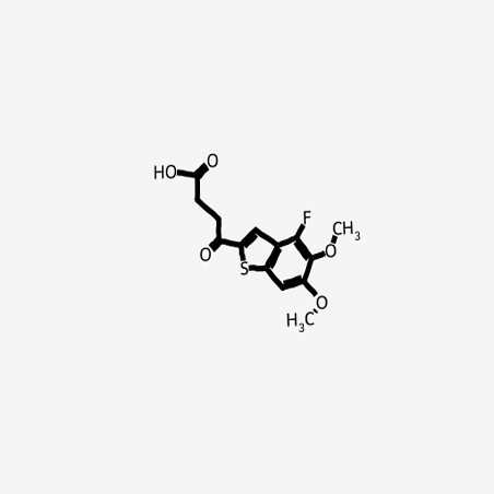 COc1cc2sc(C(=O)CCC(=O)O)cc2c(F)c1OC